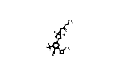 CCOC(=O)CC1[C@H]2CN(c3cc(C(F)(F)F)c(C#N)c(N4CCC4C)n3)C[C@@H]12